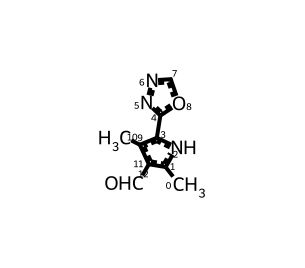 Cc1[nH]c(-c2nnco2)c(C)c1C=O